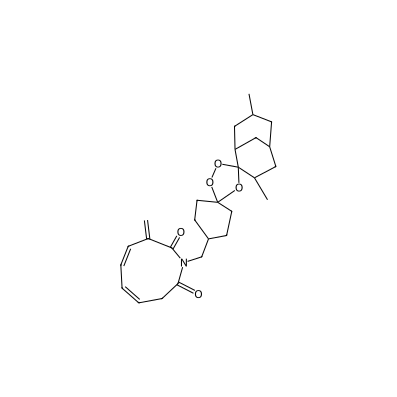 C=C1/C=C\C=C/CC(=O)N(CC2CCC3(CC2)OOC2(O3)C(C)CC3CC(C)CC2C3)C1=O